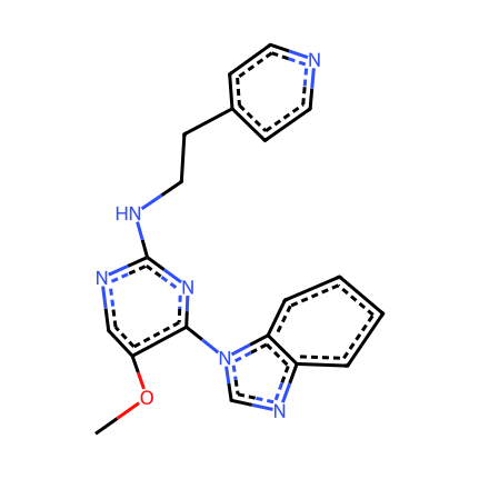 COc1cnc(NCCc2ccncc2)nc1-n1cnc2ccccc21